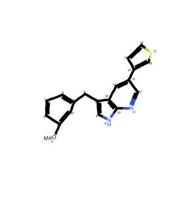 COc1cccc(Cc2c[nH]c3ncc(-c4ccsc4)cc23)c1